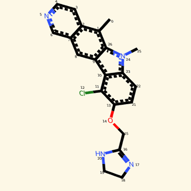 Cc1c2ccncc2cc2c3c(Cl)c(OCC4=NCCN4)ccc3n(C)c12